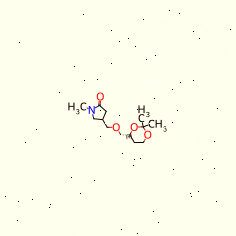 CN1CC(COC[C@H]2CCOC(C)(C)O2)CC1=O